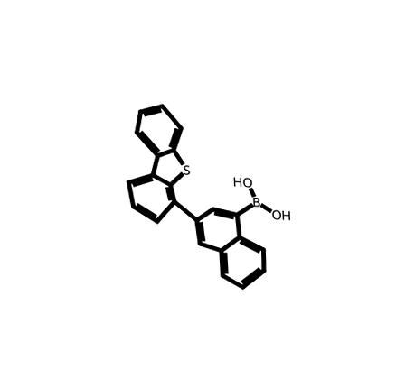 OB(O)c1cc(-c2cccc3c2sc2ccccc23)cc2ccccc12